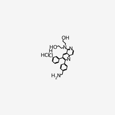 Cl.Cl.NCc1ccc(-c2nc3ccnc(N(CCO)CCO)c3cc2-c2ccccc2)cc1